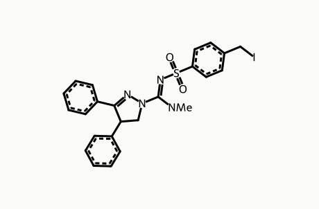 CN/C(=N\S(=O)(=O)c1ccc(CI)cc1)N1CC(c2ccccc2)C(c2ccccc2)=N1